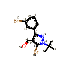 CC(C)(C)n1nc(-c2cccc(Br)c2)c(C=O)c1Br